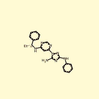 CC[C@@H](Nc1cc(-n2nc(Nc3ccccc3)nc2N)ncn1)c1ccccc1